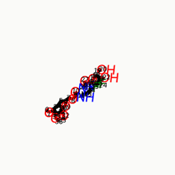 COc1cc2cc(COC(=O)Nc3ccn([C@@H]4O[C@H](CO)[C@@H](O)C4(F)F)c(=O)n3)oc2c(OC)c1OC